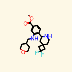 COC(=O)c1ccc(C2CC3(CCN2)CC(F)(F)C3)c(NCC2CCOCC2)c1